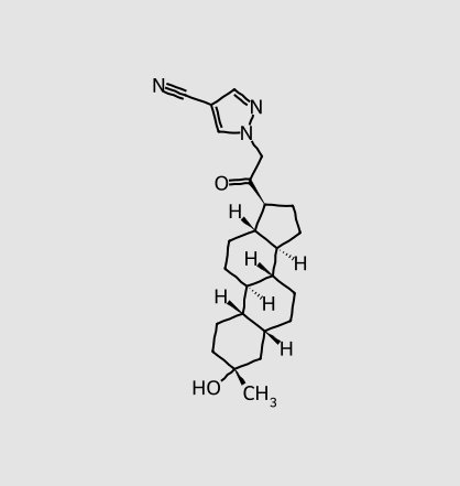 C[C@@]1(O)CC[C@H]2[C@H](CC[C@@H]3[C@@H]2CC[C@H]2[C@H]3CC[C@@H]2C(=O)Cn2cc(C#N)cn2)C1